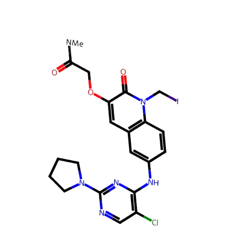 CNC(=O)COc1cc2cc(Nc3nc(N4CCCC4)ncc3Cl)ccc2n(CI)c1=O